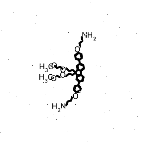 COCCOCCCC1(CCCOCCOC)c2cc(-c3ccc(OCCCCN)cc3)ccc2-c2ccc(-c3ccc(OCCCCN)cc3)cc21